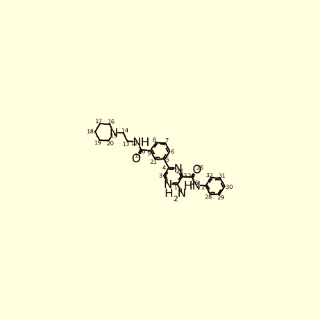 Nc1ncc(-c2cccc(C(=O)NCCN3CCCCC3)c2)nc1C(=O)Nc1ccccc1